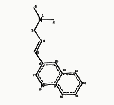 CN(C)CC=Cc1cnc2ccccc2c1